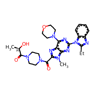 CCc1nc2ccccc2n1-c1nc(N2CCOCC2)c2nc(C(=O)N3CCN(C(=O)[C@@H](C)O)CC3)n(C)c2n1